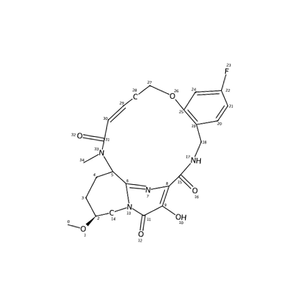 CO[C@H]1CCC2c3nc(c(O)c(=O)n3C1)C(=O)NCc1ccc(F)cc1OCC/C=C/C(=O)N2C